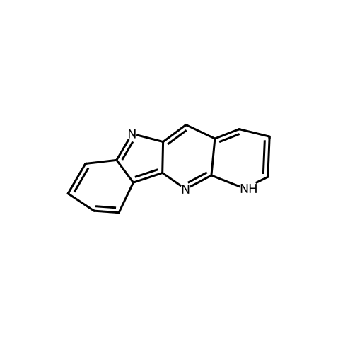 c1c[nH]c2nc3c(cc2c1)nc1ccccc13